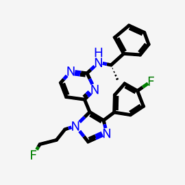 C[C@H](Nc1nccc(-c2c(-c3ccc(F)cc3)ncn2CCCF)n1)c1ccccc1